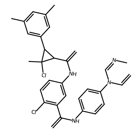 C=CN(/C=N\C)c1ccc(NC(=C)c2cc(NC(=C)C3C(c4cc(C)cc(C)c4)C3(C)Cl)ccc2Cl)cc1